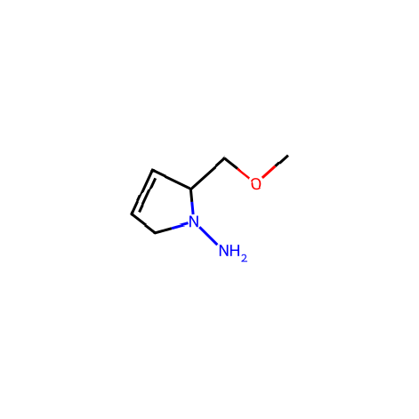 COCC1C=CCN1N